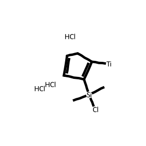 C[Si](C)(Cl)C1=[C]([Ti])CC=C1.Cl.Cl.Cl